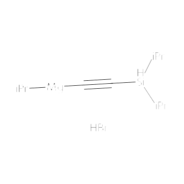 Br.C[CH](C)[Mg][C]#C[SiH](C(C)C)C(C)C